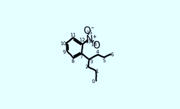 CCCC(CCC)c1ccccc1[N+](=O)[O-]